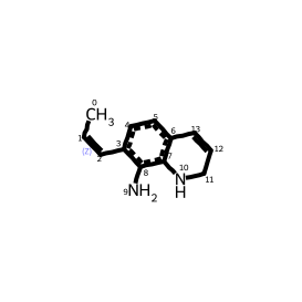 C/C=C\c1ccc2c(c1N)NCC=C2